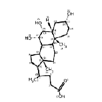 C[C@H](CCC(=O)O)[C@H]1CCC2C3C(CC[C@@]21C)[C@@]1(C)CC[C@@H](O)C[C@H]1[C@@H](O)[C@H]3O